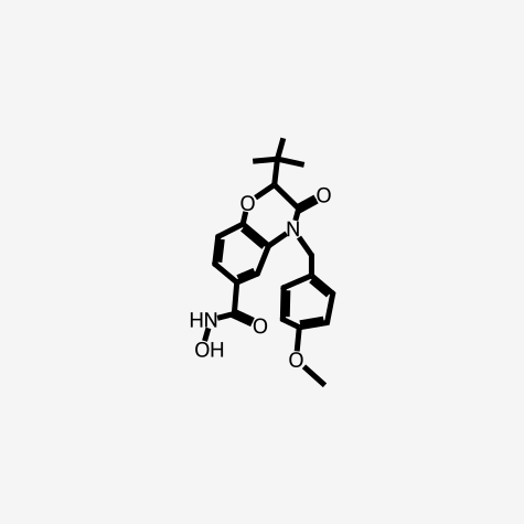 COc1ccc(CN2C(=O)C(C(C)(C)C)Oc3ccc(C(=O)NO)cc32)cc1